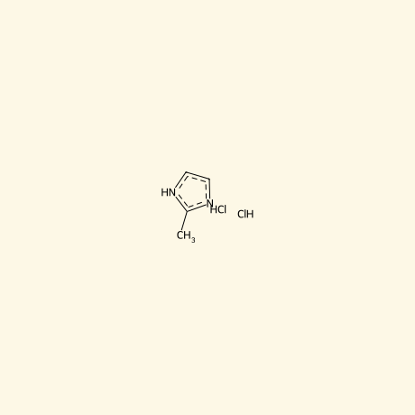 Cc1ncc[nH]1.Cl.Cl